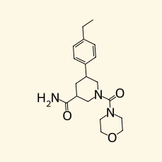 CCc1ccc(C2CC(C(N)=O)CN(C(=O)N3CCOCC3)C2)cc1